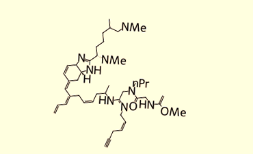 C#CC/C=C\C/N=C(/CN(CCC)C(=O)CNC(=C)OC)NC(C)C/C=C\CC(=C/C=C)/C=C1/C=CC2N=C([C@H](CCCC(C)CNC)NC)N[C@@H]2C1